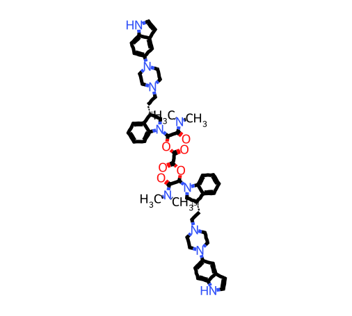 CN(C)C(=O)C(OC(=O)C(=O)OC(C(=O)N(C)C)N1C[C@@H](CCN2CCN(c3ccc4[nH]ccc4c3)CC2)c2ccccc21)N1C[C@@H](CCN2CCN(c3ccc4[nH]ccc4c3)CC2)c2ccccc21